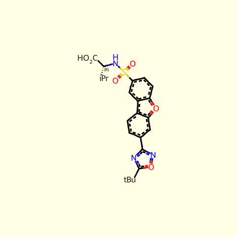 CC(C)[C@@H](NS(=O)(=O)c1ccc2oc3cc(-c4noc(C(C)(C)C)n4)ccc3c2c1)C(=O)O